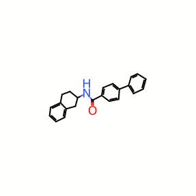 O=C(NC1CCc2ccccc2C1)c1ccc(-c2ccccc2)cc1